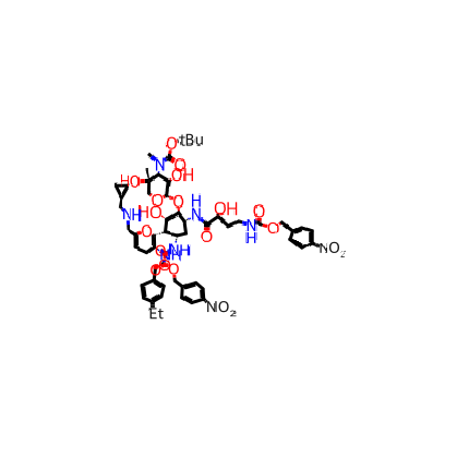 CCc1ccc(COC(=O)N[C@H]2C[C@@H](NC(=O)[C@@H](O)CCNC(=O)OCc3ccc([N+](=O)[O-])cc3)[C@H](O[C@H]3OC[C@](C)(O)[C@H](N(C)C(=O)OC(C)(C)C)[C@H]3O)[C@@H](O)C2[C@H]2OC(CNCC3CC3)=CC[C@H]2NC(=O)OCc2ccc([N+](=O)[O-])cc2)cc1